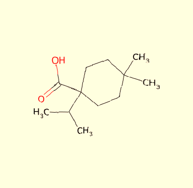 CC(C)C1(C(=O)O)CCC(C)(C)CC1